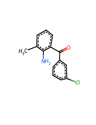 Cc1cccc(C(=O)c2cccc(Cl)c2)c1N